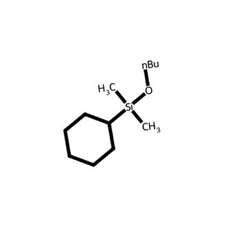 CCCCO[Si](C)(C)C1CCCCC1